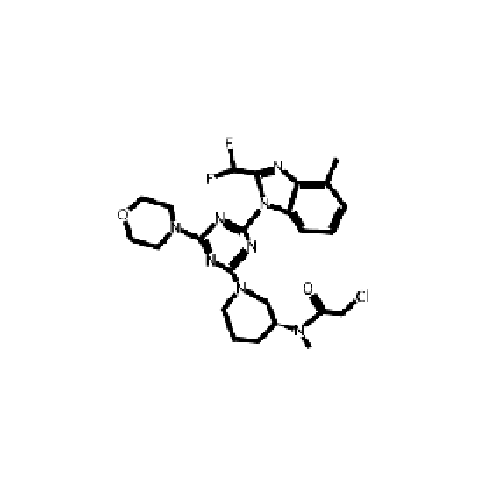 Cc1cccc2c1nc(C(F)F)n2-c1nc(N2CCOCC2)nc(N2CCC[C@H](N(C)C(=O)CCl)C2)n1